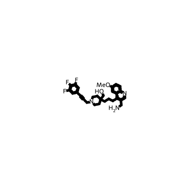 COc1ccc2ncc(CN)c(CCCC3(CO)CCN(CC#Cc4cc(F)c(F)c(F)c4)CC3)c2c1